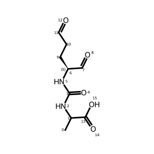 CC(NC(=O)N[C@H](C=O)CCC=O)C(=O)O